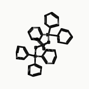 [O]=[Cr](=[O])([O][Si](c1ccccc1)(c1ccccc1)c1ccccc1)[O][Si](c1ccccc1)(c1ccccc1)c1ccccc1